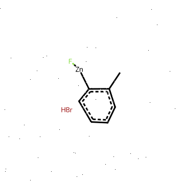 Br.Cc1cccc[c]1[Zn][F]